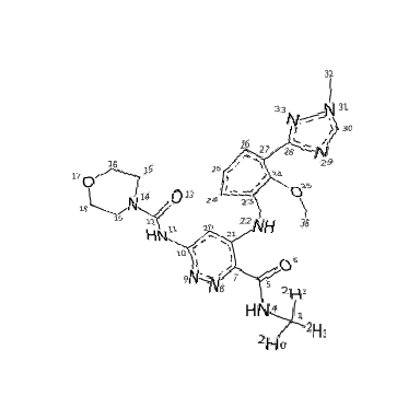 [2H]C([2H])([2H])NC(=O)c1nnc(NC(=O)N2CCOCC2)cc1Nc1cccc(-c2ncn(C)n2)c1OC